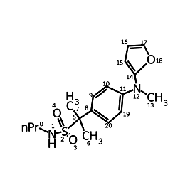 CCCNS(=O)(=O)C(C)(C)c1ccc(N(C)c2ccco2)cc1